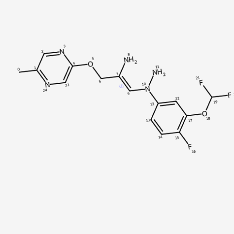 Cc1cnc(OC/C(N)=C/N(N)c2ccc(F)c(OC(F)F)c2)cn1